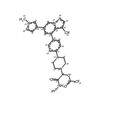 CC(C)NC(=O)C(OC(=O)C(F)(F)F)N1CCN(c2ccc(-c3cc(-c4cnn(C)c4)cn4ncc(C#N)c34)cn2)CC1